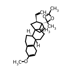 C=C[C@@H]1CC23CC[C@@]1(C1(C)OC(C)O1)[C@@]2(C)CC[C@@H]1C2=C(CC[C@H]13)CC(OC)=CC2